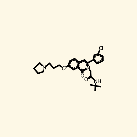 CC(C)(C)NC(=O)Cn1c(-c2cccc(Cl)c2)cc2ccc(OCCCN3CCCC3)cc2c1=O